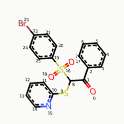 O=C(c1ccccc1)C(Sc1ccccn1)S(=O)(=O)c1ccc(Br)cc1